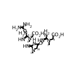 CN(CC(=O)O)C(=N)N.CN(CC(=O)O)C(=N)N.CN1CC(=O)NC1=N.NC(N)=O